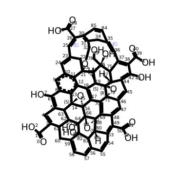 O=C(O)C1=CC2=C(O)c3cc4c5c6c3[C@]37O[C@@]38C3=C6[C@@H]6C9C5%10CC(=C4)/C=C(/C(=O)O)C4=C(CO%10)C/C(=C\C5=C(C(=O)O)C(O)=C%10C=C%11C=C%12C(C(=O)O)=C%13C=CC%14=CC=C%15CC1C(C27)[C@]1(O)[C@]82O[C@]2(C%12=C3[C@]%112O[C@]62[C@@H]%10C5[C@@]9(O)CO)[C@H]%13C%14[C@]%151O)C=C4